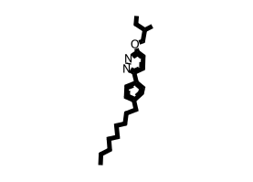 CCCCCCCCCc1ccc(-c2ccc(OCC(C)CC)nn2)cc1